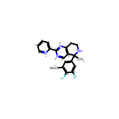 COc1cc(C2(C)NCCc3nc(-c4ccccn4)ncc32)cc(F)c1F